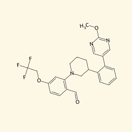 COc1ncc(-c2ccccc2C2CCCN(c3cc(OCC(F)(F)F)ccc3C=O)C2)cn1